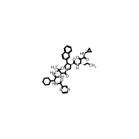 CCC[C@H](NC(=O)[C@H]1CN(C(=O)[C@@H](NC(=O)[C@@H](NC(=O)c2cnccn2)C2CCCCC2)C(C)(C)C)CC1c1ccc2ccccc2c1)C(=O)C(=O)NC1CC1